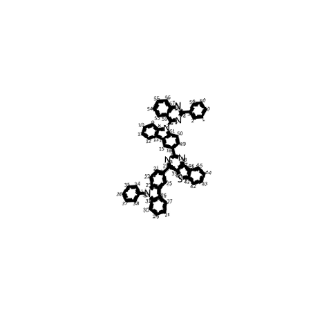 c1ccc(-c2nc(-n3c4ccccc4c4cc(-c5nc(-c6ccc7c(c6)c6ccccc6n7-c6ccccc6)c6sc7ccccc7c6n5)ccc43)c3ccccc3n2)cc1